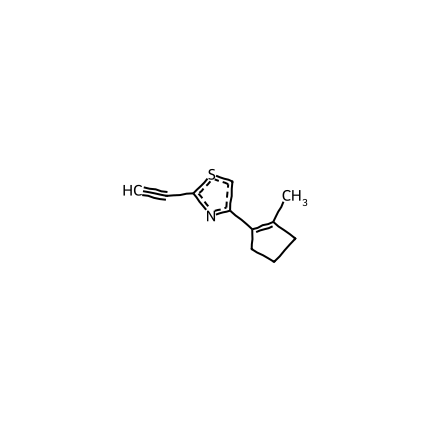 C#Cc1nc(C2=C(C)CCC2)cs1